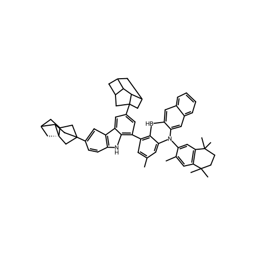 Cc1cc(-c2cc(C34CC5CC6CC(C3)C4C65)cc3c2[nH]c2ccc(C45CC6CC7C[C@]6(C4)C7C5)cc23)c2c(c1)N(c1cc3c(cc1C)C(C)(C)CCC3(C)C)c1cc3ccccc3cc1B2